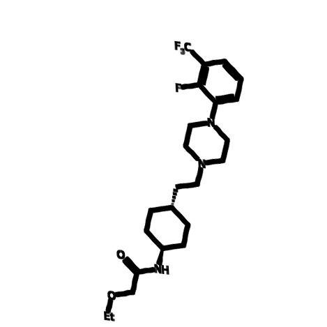 CCOCC(=O)N[C@H]1CC[C@H](CCN2CCN(c3cccc(C(F)(F)F)c3F)CC2)CC1